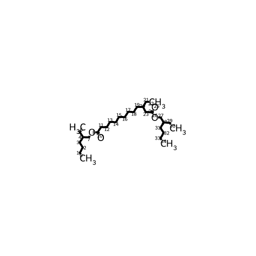 CCCCC(CC)COC(=O)CCCCCCCCCC(CC)CC(=O)OCC(CC)CCCC